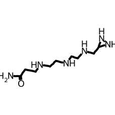 NC(=O)CCNCCNCCNCC1NN1